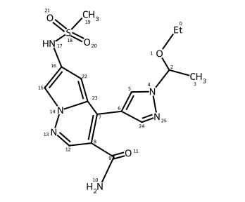 CCOC(C)n1cc(-c2c(C(N)=O)cnn3cc(NS(C)(=O)=O)cc23)cn1